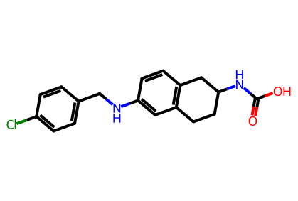 O=C(O)NC1CCc2cc(NCc3ccc(Cl)cc3)ccc2C1